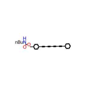 CCCCNC(=O)OCc1ccc(C#CC#CC#CC#Cc2ccccc2)cc1